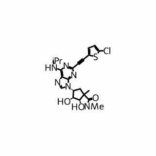 CNC(=O)C1(C)C[C@@H](n2cnc3c(NC(C)C)nc(C#Cc4ccc(Cl)s4)nc32)[C@H](O)[C@@H]1O